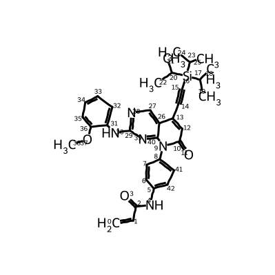 C=CC(=O)Nc1ccc(-n2c(=O)cc(C#C[Si](C(C)C)(C(C)C)C(C)C)c3cnc(Nc4ccccc4OC)nc32)cc1